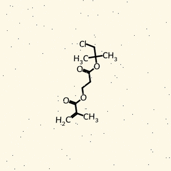 C=C(C)C(=O)OCCC(=O)OC(C)(C)CCl